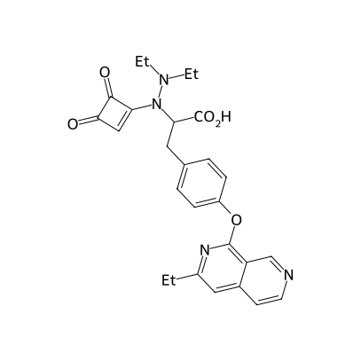 CCc1cc2ccncc2c(Oc2ccc(CC(C(=O)O)N(c3cc(=O)c3=O)N(CC)CC)cc2)n1